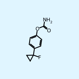 NC(=O)Oc1ccc(C2(F)CC2)cc1